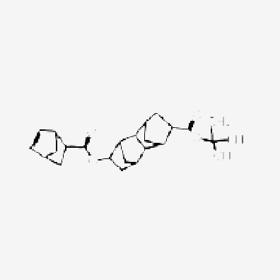 CC(C)(C)OC(=O)C1CC2CC1C1C3CC(OC(=O)C4CC5C=CC4C5)C(C3)C21